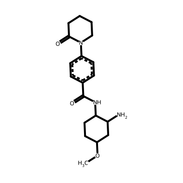 COC1CCC(NC(=O)c2ccc(N3CCCCC3=O)cc2)C(N)C1